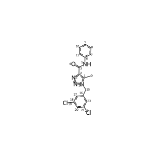 Cc1c(C(=O)Nc2c[c]ccc2)nnn1Cc1cc(Cl)cc(Cl)c1